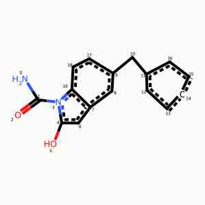 NC(=O)n1c(O)cc2cc(Cc3ccccc3)ccc21